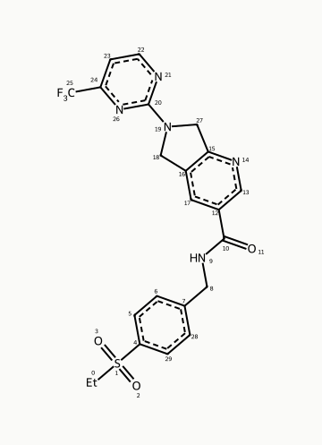 CCS(=O)(=O)c1ccc(CNC(=O)c2cnc3c(c2)CN(c2nccc(C(F)(F)F)n2)C3)cc1